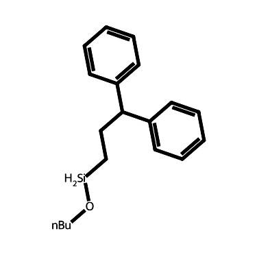 CCCCO[SiH2]CCC(c1ccccc1)c1ccccc1